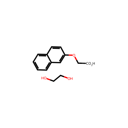 O=C(O)COc1ccc2ccccc2c1.OCCO